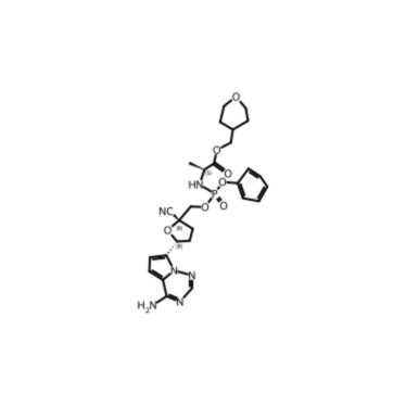 C[C@H](NP(=O)(OC[C@]1(C#N)CC[C@H](c2ccc3c(N)ncnn23)O1)Oc1ccccc1)C(=O)OCC1CCOCC1